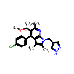 Cc1nc2c(c(C)c(C)n2Cc2cn[nH]c2)c(-c2ccc(Cl)cc2)c1[C@H](OC(C)(C)C)C(=O)O